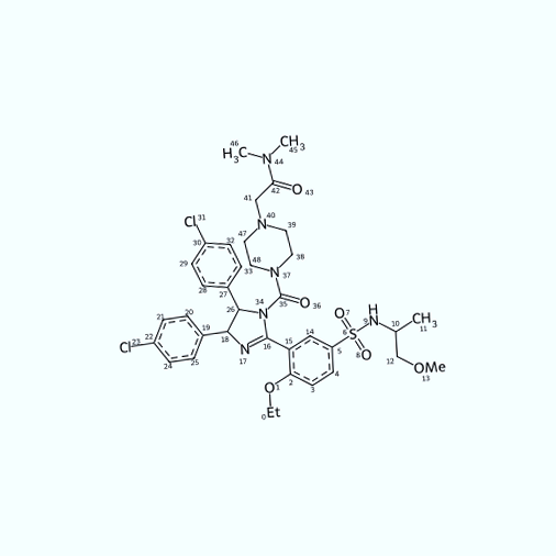 CCOc1ccc(S(=O)(=O)NC(C)COC)cc1C1=NC(c2ccc(Cl)cc2)C(c2ccc(Cl)cc2)N1C(=O)N1CCN(CC(=O)N(C)C)CC1